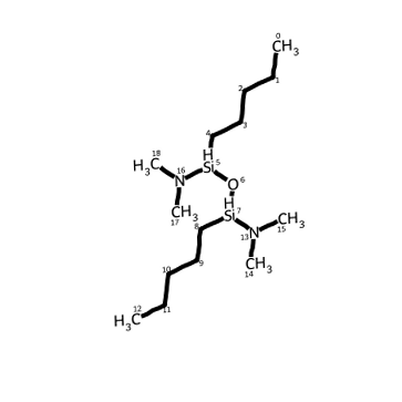 CCCCC[SiH](O[SiH](CCCCC)N(C)C)N(C)C